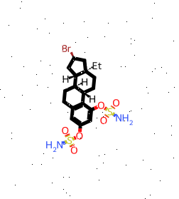 CC[C@]12CC[C@@H]3c4c(cc(OS(N)(=O)=O)cc4OS(N)(=O)=O)CC[C@H]3[C@@H]1C[C@@H](Br)C2